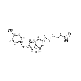 CCN(CC)CCCCOc1ccc2nc(Cc3ccc(Cl)cc3)sc2c1.Cl